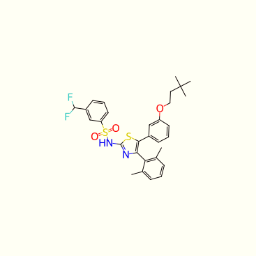 Cc1cccc(C)c1-c1nc(NS(=O)(=O)c2cccc(C(F)F)c2)sc1-c1cccc(OCCC(C)(C)C)c1